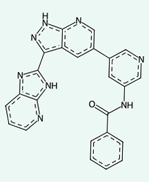 O=C(Nc1cncc(-c2cnc3[nH]nc(-c4nc5cccnc5[nH]4)c3c2)c1)c1ccccc1